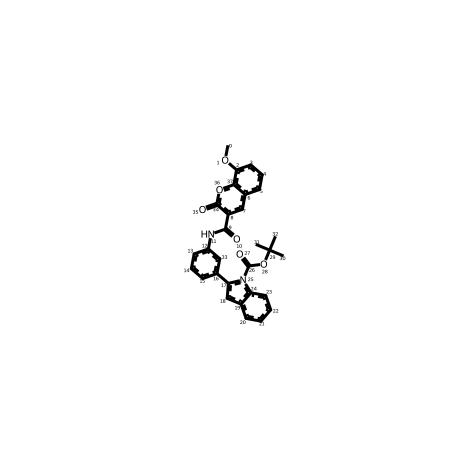 COc1cccc2cc(C(=O)Nc3cccc(-c4cc5ccccc5n4C(=O)OC(C)(C)C)c3)c(=O)oc12